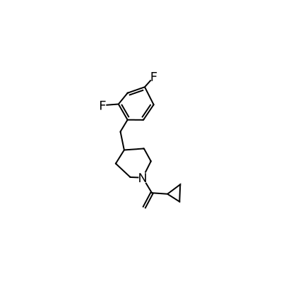 C=C(C1CC1)N1CCC(Cc2ccc(F)cc2F)CC1